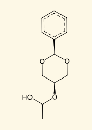 CC(O)O[C@H]1CO[C@@H](c2ccccc2)OC1